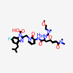 COCCN(C)C(=O)NC(CCC=CC(=O)N(C)C)C(=O)Nc1cccn(Cc2nc3c(CC(C)C)cc(F)cc3n2C(=O)O)c1=O